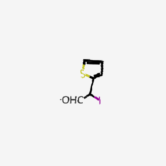 O=[C]C(I)c1cccs1